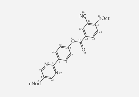 CCCCCCCCCc1cnc(-c2ccc(OC(=O)c3ccc(CCCCCCCC)c(C#N)c3)cc2)nc1